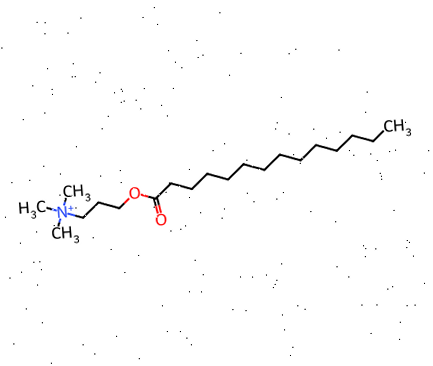 CCCCCCCCCCCCCC(=O)OCCC[N+](C)(C)C